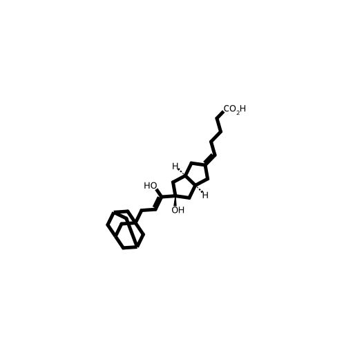 O=C(O)CCC/C=C1\C[C@@H]2C[C@@](O)(C(O)=CCC34CC5CC(CC(C5)C3)C4)C[C@@H]2C1